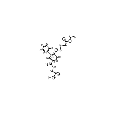 CCOC(=O)CCCOc1ccc(C(C)CCC(=O)O)cc1-c1ccccc1